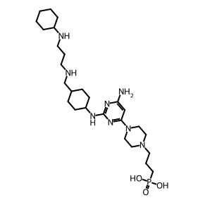 Nc1cc(N2CCN(CCCP(=O)(O)O)CC2)nc(NC2CCC(CNCCCNC3CCCCC3)CC2)n1